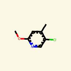 COc1[c]c(C)c(Cl)cn1